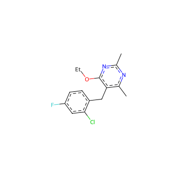 CCOc1nc(C)nc(C)c1Cc1ccc(F)cc1Cl